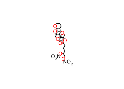 O=C(CCCC(CO[N+](=O)[O-])O[N+](=O)[O-])O[C@H]1CO[C@@H]2[C@@H]1OC[C@@H]2OC1CCCCO1